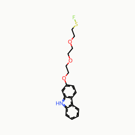 FSCCOCCOCCOc1ccc2c(c1)[nH]c1ccccc12